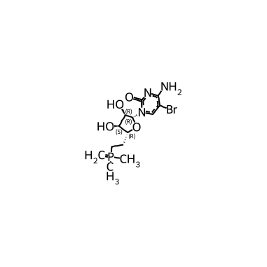 C=P(C)(C)CC[C@H]1O[C@@H](n2cc(Br)c(N)nc2=O)[C@H](O)[C@@H]1O